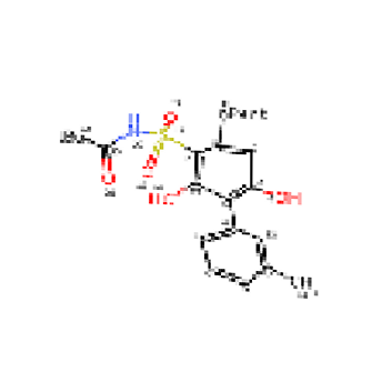 CCCCCc1cc(O)c(-c2cccc(C)c2)c(O)c1S(=O)(=O)NC(=O)C(C)(C)C